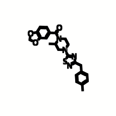 Cc1ccc(Cc2nsc(N3CCN(C(=O)c4ccc5c(c4)OCO5)C(C)C3)n2)cc1